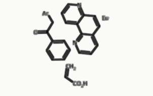 C=CC(=O)O.CC(=O)CC(=O)c1ccccc1.[Eu].c1cnc2c(c1)ccc1ncccc12